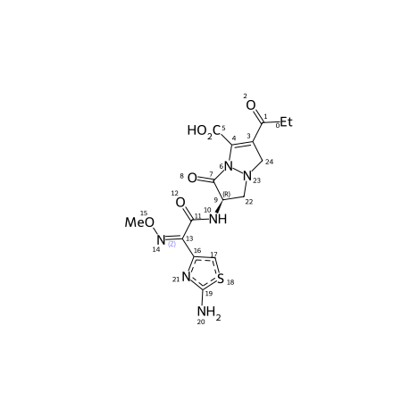 CCC(=O)C1=C(C(=O)O)N2C(=O)[C@H](NC(=O)/C(=N\OC)c3csc(N)n3)CN2C1